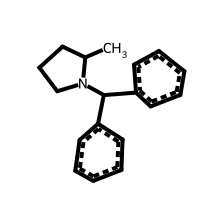 CC1CCCN1C(c1ccccc1)c1ccccc1